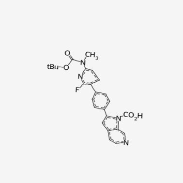 CN(C(=O)OC(C)(C)C)c1ccc(-c2ccc(-c3cc4ccncc4n3C(=O)O)cc2)c(F)n1